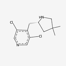 CC1(C)CN[C@@H](Cc2c(Cl)cncc2Cl)C1